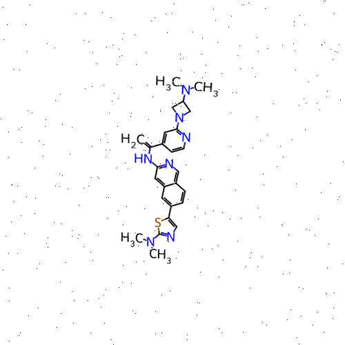 C=C(Nc1cc2cc(-c3cnc(N(C)C)s3)ccc2cn1)c1ccnc(N2CC(N(C)C)C2)c1